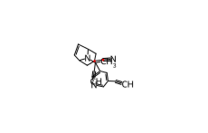 C#Cc1cncc(C2(C#N)CC3C=CC(C2)N3C(C)C#C)c1